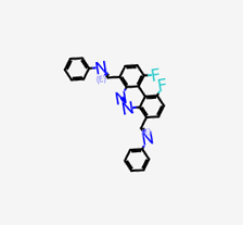 Fc1ccc(/C=N/c2ccccc2)c2nnc3c(/C=N/c4ccccc4)ccc(F)c3c12